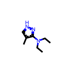 CCN(CC)c1n[nH]cc1C